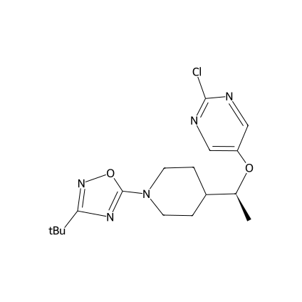 C[C@H](Oc1cnc(Cl)nc1)C1CCN(c2nc(C(C)(C)C)no2)CC1